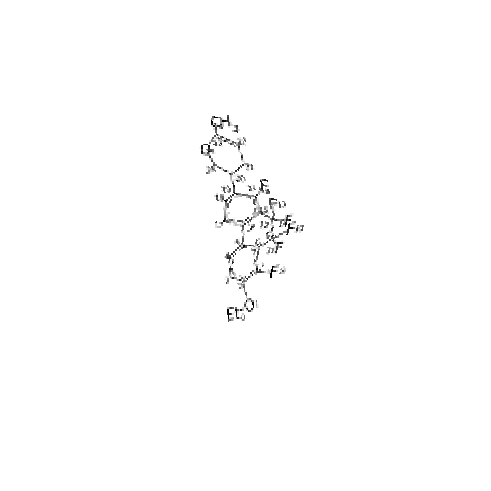 CCOc1ccc2c(c1F)C(F)(F)C(F)(F)c1c-2ccc(C2CC=C(C)OC2)c1F